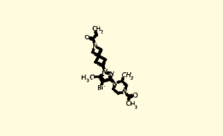 C=CC(=O)N1CC2(CC(n3nc(N4CCN(C(C)=O)CC4C)c(Br)c3C)C2)C1